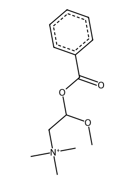 COC(C[N+](C)(C)C)OC(=O)c1ccccc1